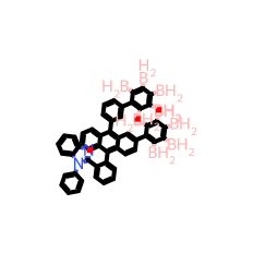 Bc1c(B)c(B)c(-c2cccc(-c3c4ccccc4c(-c4ccccc4-c4nc5ccccc5n4-c4ccccc4)c4ccc(-c5c(B)c(B)c(B)c(B)c5B)cc34)c2)c(B)c1B